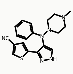 CN1CCN(N(c2ccccc2)c2c[nH]nc2-c2cc(C#N)cs2)CC1